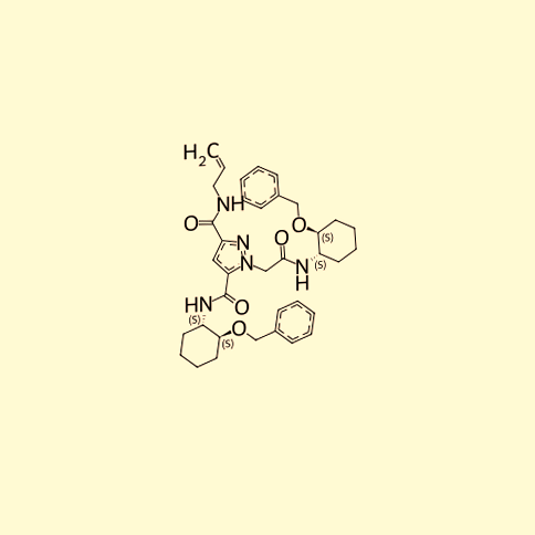 C=CCNC(=O)c1cc(C(=O)N[C@H]2CCCC[C@@H]2OCc2ccccc2)n(CC(=O)N[C@H]2CCCC[C@@H]2OCc2ccccc2)n1